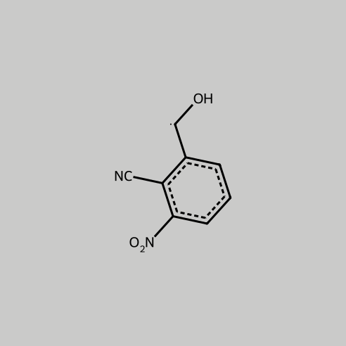 N#Cc1c([CH]O)cccc1[N+](=O)[O-]